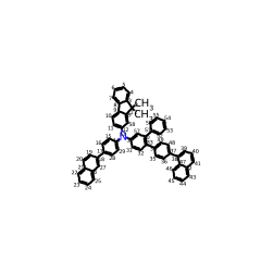 CC1(C)c2ccccc2-c2ccc(N(c3ccc(-c4ccc5ccccc5c4)cc3)c3ccc(-c4ccc(-c5cccc6ccccc56)cc4)c(-c4ccccc4)c3)cc21